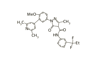 CCC(F)(F)c1cccc(NC(=O)C2C(=O)N(c3ccc(OC)c(-c4cc(C)nc(C)c4)c3)N=C2C)c1